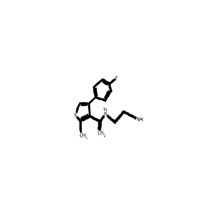 C=C(NCCS)c1c(-c2ccc(F)cc2)csc1C